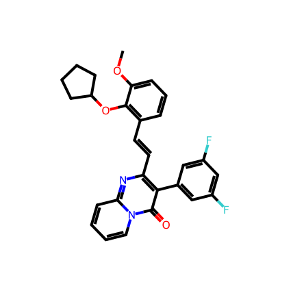 COc1cccc(/C=C/c2nc3ccccn3c(=O)c2-c2cc(F)cc(F)c2)c1OC1CCCC1